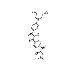 CN(C)CC(=O)Nc1ccc(NC(=O)Nc2ccc(N(CCCl)CCCl)cc2)cc1